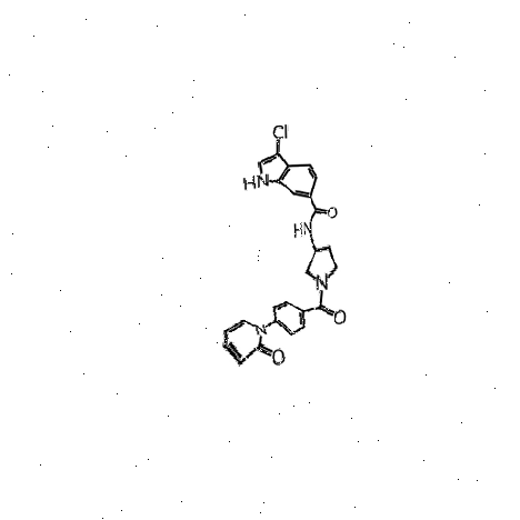 O=C(NC1CCN(C(=O)c2ccc(-n3ccccc3=O)cc2)C1)c1ccc2c(Cl)c[nH]c2c1